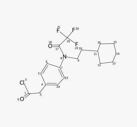 O=C(Cl)Cc1ccc(N(CCC2CCCCC2)C(=O)C(F)(F)F)cc1